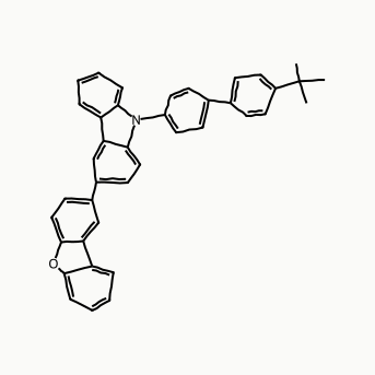 CC(C)(C)c1ccc(-c2ccc(-n3c4ccccc4c4cc(-c5ccc6oc7ccccc7c6c5)ccc43)cc2)cc1